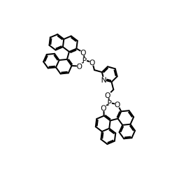 c1cc(COp2oc3ccc4ccccc4c3c3c(ccc4ccccc43)o2)nc(COp2oc3ccc4ccccc4c3c3c(ccc4ccccc43)o2)c1